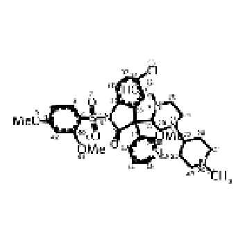 COc1ccc(S(=O)(=O)N2C(=O)C(c3cccnc3OC)(C3CN(C4CCN(C)CC4)CCN3C(=O)O)c3cc(Cl)ccc32)c(OC)c1